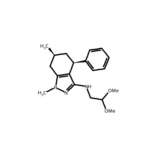 COC(CNc1nn(C)c2c1[C@H](c1ccccc1)C[C@H](C)C2)OC